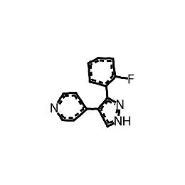 Fc1ccccc1-c1n[nH]cc1-c1ccncc1